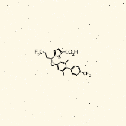 Cc1cc(OC(CCC(F)(F)F)c2ccc(C(=O)O)s2)cc(C)c1-c1ccc(C(F)(F)F)cc1